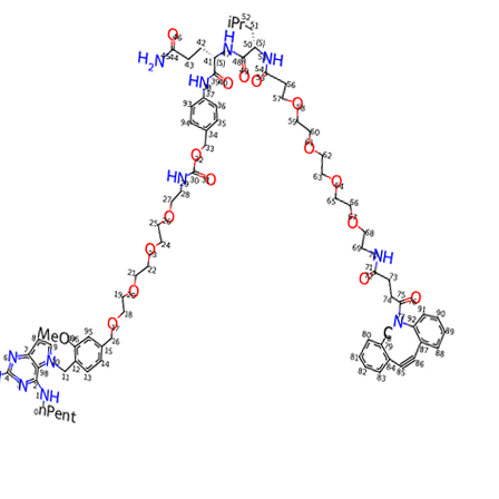 CCCCCNc1nc(N)nc2ccn(Cc3ccc(COCCOCCOCCOCCNC(=O)OCc4ccc(NC(=O)[C@H](CCC(N)=O)NC(=O)[C@H](CC(C)C)NC(=O)CCOCCOCCOCCOCCNC(=O)CCC(=O)N5Cc6ccccc6C#Cc6ccccc65)cc4)cc3OC)c12